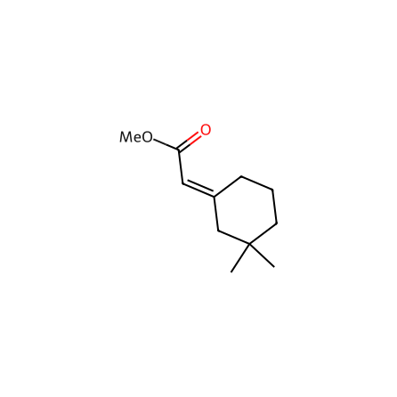 COC(=O)C=C1CCCC(C)(C)C1